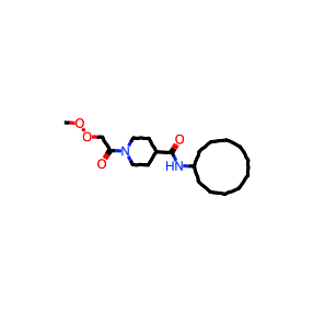 COOCC(=O)N1CCC(C(=O)NC2CCCCCCCCCC2)CC1